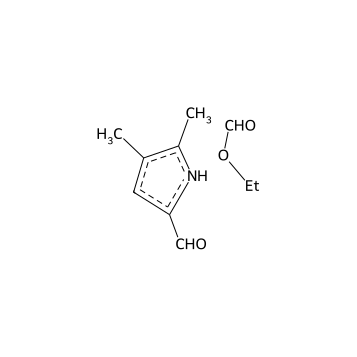 CCOC=O.Cc1cc(C=O)[nH]c1C